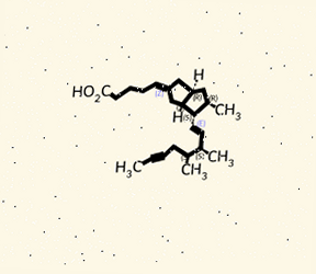 CC#CC[C@H](C)[C@H](C)/C=C/[C@@H]1[C@H]2C/C(=C\CCCC(=O)O)C[C@H]2C[C@H]1C